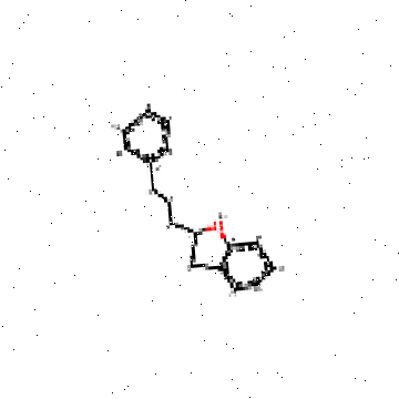 c1ccc(CCCC2Cc3ccccc3O2)cc1